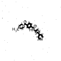 CN1CCN(C(=O)c2ccc(C(=O)Nc3cnc(-c4ccncc4)s3)cc2)CC1